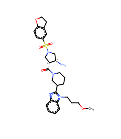 COCCCn1c(C2CCCN(C(=O)[C@@H]3CN(S(=O)(=O)c4ccc5c(c4)CCO5)C[C@H]3N)C2)nc2ccccc21